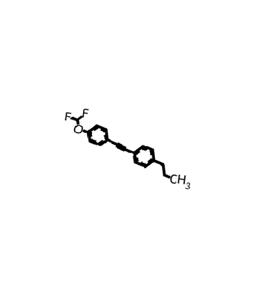 CCCc1ccc(C#Cc2ccc(OC(F)F)cc2)cc1